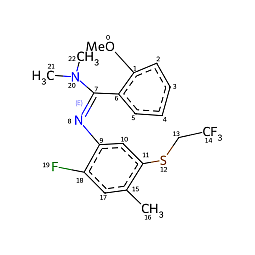 COc1ccccc1/C(=N\c1cc(SCC(F)(F)F)c(C)cc1F)N(C)C